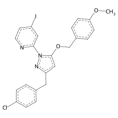 COc1ccc(COc2cc(Cc3ccc(Cl)cc3)nn2-c2cc(I)ccn2)cc1